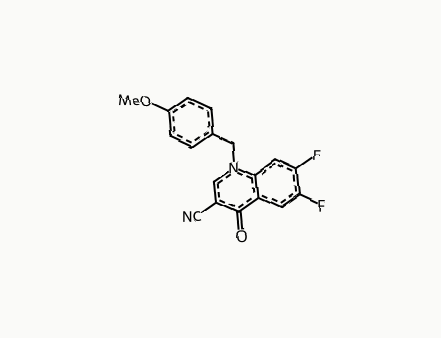 COc1ccc(Cn2cc(C#N)c(=O)c3cc(F)c(F)cc32)cc1